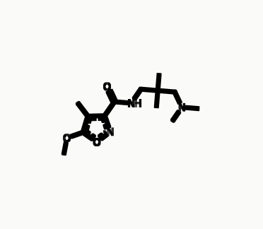 COc1onc(C(=O)NCC(C)(C)CN(C)C)c1C